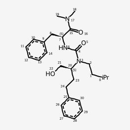 CC(C)CCN(C(=O)N[C@@H](Cc1ccccc1)C(=O)N(C)C)[C@H](CO)CCc1ccccc1